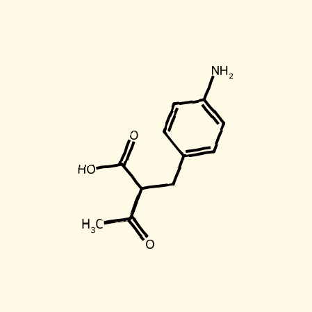 CC(=O)C(Cc1ccc(N)cc1)C(=O)O